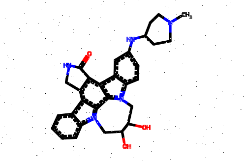 CN1CCC(Nc2ccc3c(c2)c2c4c(c5c6ccccc6n6c5c2n3CC(O)C(O)C6)CNC4=O)CC1